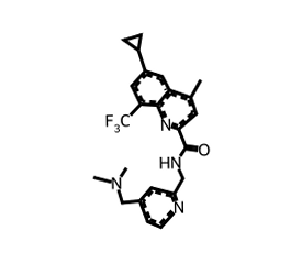 Cc1cc(C(=O)NCc2cc(CN(C)C)ccn2)nc2c(C(F)(F)F)cc(C3CC3)cc12